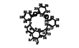 Cc1c(C)c2ccc3cc2c2cc(ccc12)c1ccccc1oc1ccccc1oc1ccccc31